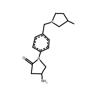 CC1CCN(Cc2ccc(N3CC(N)CC3=O)cc2)C1